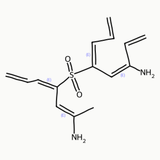 C=C/C=C(\C=C(/C)N)S(=O)(=O)C(/C=C(/N)C=C)=C/C=C